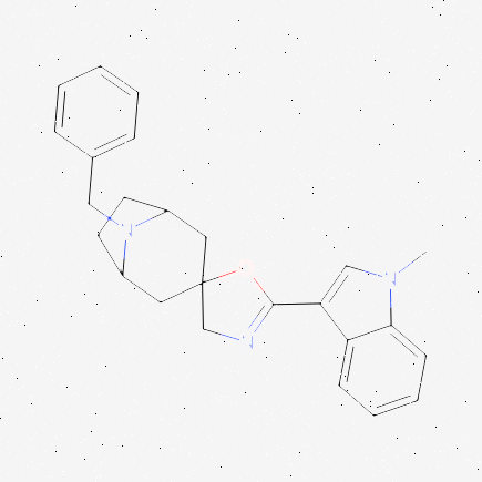 Cn1cc(C2=NCC3(CC4CCC(C3)N4Cc3ccccc3)O2)c2ccccc21